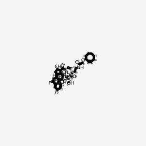 C[C@@H]1C[C@H]2[C@@H]3C[C@H](F)C4=CC(=O)C=C[C@]4(C)[C@@]3(F)[C@@H](OP(=O)(O)OP(=O)(O)OCCNC(=O)COC3C#CCCCCC3)C[C@@]2(C)[C]1C(=O)SCF